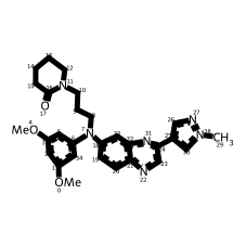 COc1cc(OC)cc(N(CCCN2CCCCC2=O)c2ccc3ncc(-c4cnn(C)c4)nc3c2)c1